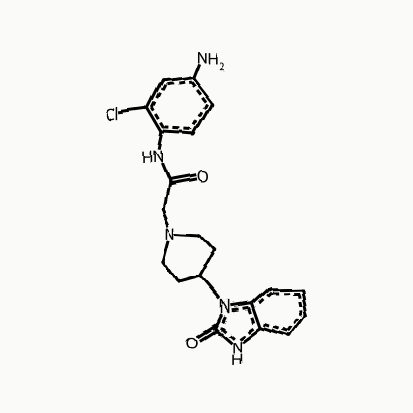 Nc1ccc(NC(=O)CN2CCC(n3c(=O)[nH]c4ccccc43)CC2)c(Cl)c1